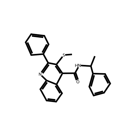 CSc1c(-c2ccccc2)nc2ccccc2c1C(=O)NC(C)c1ccccc1